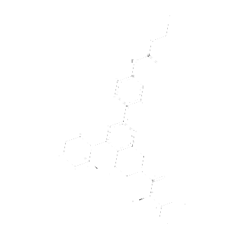 CCNC(=O)Nc1ccc(-c2nc3c(c(N4CCOC[C@@H]4C)n2)CCN(C(=O)[C@H](O)C(C)C)C3)cc1